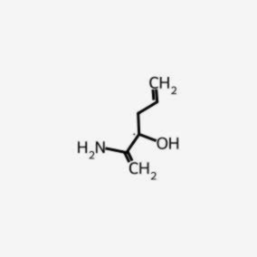 C=CC[C](O)C(=C)N